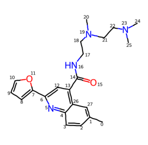 Cc1ccc2nc(-c3ccco3)cc(C(=O)NCCN(C)CCN(C)C)c2c1